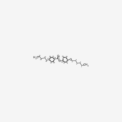 CCCCCCOc1ccc(OC(=O)c2ccc(CCCCC)cc2)cc1